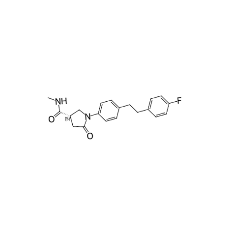 CNC(=O)[C@H]1CC(=O)N(c2ccc(CCc3ccc(F)cc3)cc2)C1